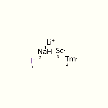 [I-].[Li+].[NaH].[Sc].[Tm]